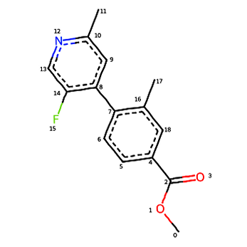 COC(=O)c1ccc(-c2cc(C)ncc2F)c(C)c1